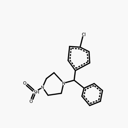 O=[SH](=O)N1CCN(C(c2ccccc2)c2ccc(Cl)cc2)CC1